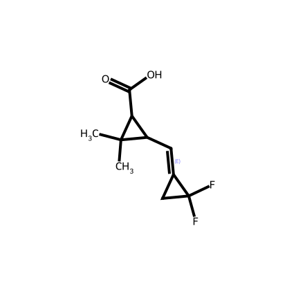 CC1(C)C(/C=C2\CC2(F)F)C1C(=O)O